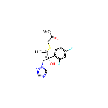 COC(=O)CS[C@H](C)[C@](O)(Cn1cncn1)c1ccc(F)cc1F